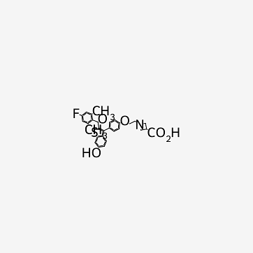 Cc1cc(F)cc(C)c1C(=O)c1sc2cc(O)ccc2c1-c1ccc(OCCN2CC(C(=O)O)C2)cc1